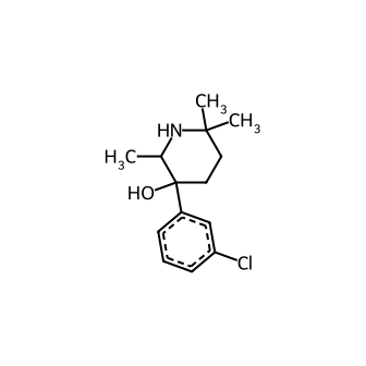 CC1NC(C)(C)CCC1(O)c1cccc(Cl)c1